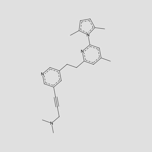 Cc1cc(CCc2cncc(C#CCN(C)C)c2)nc(-n2c(C)ccc2C)c1